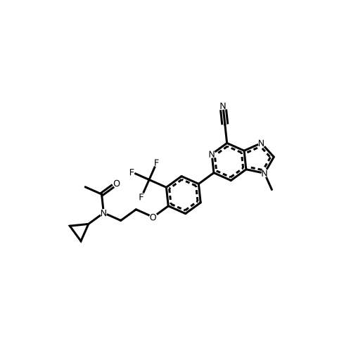 CC(=O)N(CCOc1ccc(-c2cc3c(ncn3C)c(C#N)n2)cc1C(F)(F)F)C1CC1